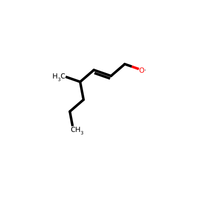 CCCC(C)/C=C/C[O]